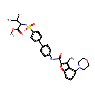 COC(=O)C(NS(=O)(=O)c1ccc(-c2ccc(NC(=O)c3oc4cccc(N5CCOCC5)c4c3C)cc2)cc1)C(C)C